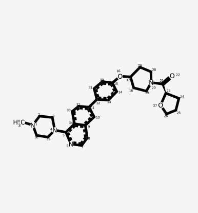 CN1CCN(c2nccc3cc(-c4ccc(OC5CCN(C(=O)[C@H]6CCCO6)CC5)cc4)ccc23)CC1